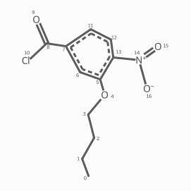 CCCCOc1cc(C(=O)Cl)ccc1[N+](=O)[O-]